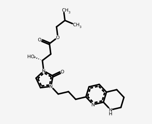 CC(C)COC(=O)C[C@@H](O)n1ccn(CCCc2ccc3c(n2)NCCC3)c1=O